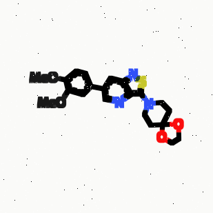 COc1ccc(-c2cnc3c(N4CCC5(CC4)OCCO5)snc3c2)cc1OC